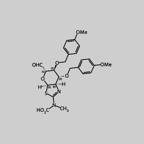 COc1ccc(CO[C@@H]2[C@H]3N=C(N(C)C(=O)O)S[C@H]3O[C@H](C=O)[C@H]2OCc2ccc(OC)cc2)cc1